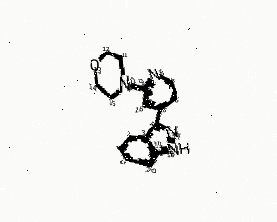 c1ccc2c(-c3ccnc(N4CCOCC4)c3)n[nH]c2c1